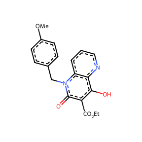 CCOC(=O)c1c(O)c2ncccc2n(Cc2ccc(OC)cc2)c1=O